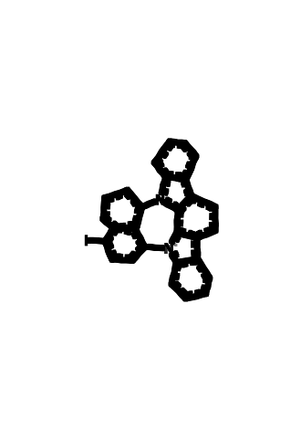 Ic1ccc(-n2c3ccccc3c3ccc4c5ccccc5n(-c5ccccc5)c4c32)cc1